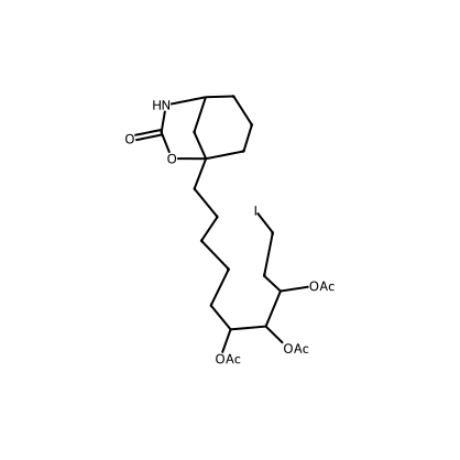 CC(=O)OC(CCI)C(OC(C)=O)C(CCCCCC12CCCC(C1)NC(=O)O2)OC(C)=O